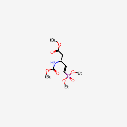 CCOP(=O)(/C=C/[C@H](CC(=O)OC(C)(C)C)NC(=O)OC(C)(C)C)OCC